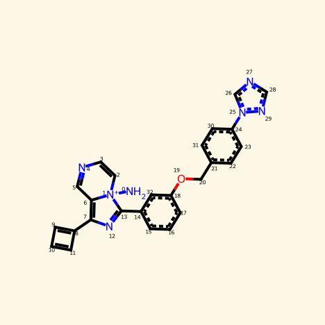 N[N+]12C=CN=CC1=C(C1=CC=C1)N=C2c1cccc(OCc2ccc(-n3cncn3)cc2)c1